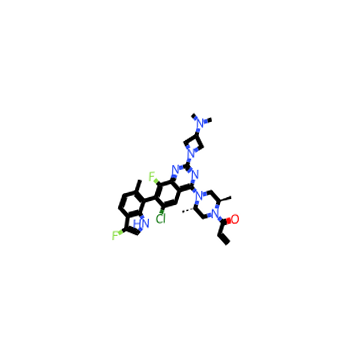 C=CC(=O)N1C[C@H](C)N(c2nc(N3CC(N(C)C)C3)nc3c(F)c(-c4c(C)ccc5c(F)c[nH]c45)c(Cl)cc23)C[C@H]1C